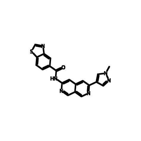 Cn1cc(-c2cc3cc(NC(=O)c4ccc5scnc5c4)ncc3cn2)cn1